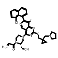 C=CC(=O)N1CCN(c2nc(OCC3(CN4CCCC4)CC3)nc3c(F)c(-c4cccc5cccc(Cl)c45)ncc23)C[C@@H]1CC#N